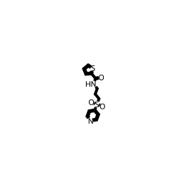 O=C(NCCCS(=O)(=O)c1ccncc1)c1cccs1